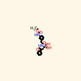 CCOC(=O)Nc1cccc(CC(=O)N[C@@H](Cc2coc3ccccc23)B(O)O)c1